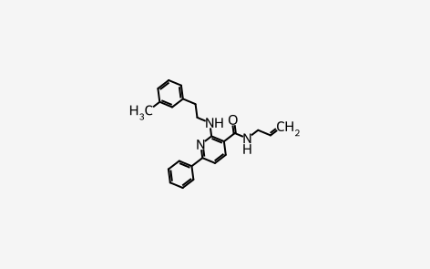 C=CCNC(=O)c1ccc(-c2ccccc2)nc1NCCc1cccc(C)c1